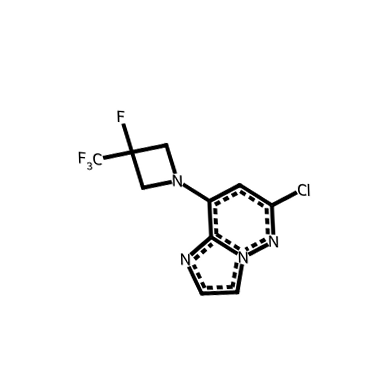 FC(F)(F)C1(F)CN(c2cc(Cl)nn3ccnc23)C1